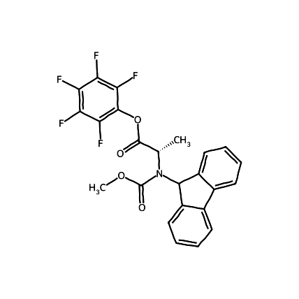 COC(=O)N(C1c2ccccc2-c2ccccc21)[C@@H](C)C(=O)Oc1c(F)c(F)c(F)c(F)c1F